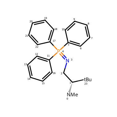 CN[C@H](CN=P(c1ccccc1)(c1ccccc1)c1ccccc1)C(C)(C)C